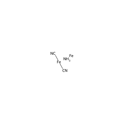 N.N#[C][Fe][C]#N.[Fe]